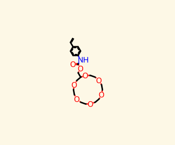 C=Cc1ccc(NC(=O)OCC2COCCOCCOCCOCCOCCO2)cc1